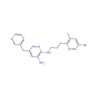 Cc1cc(Br)cnc1CCCNc1ncc(Cc2cccnc2)cc1N